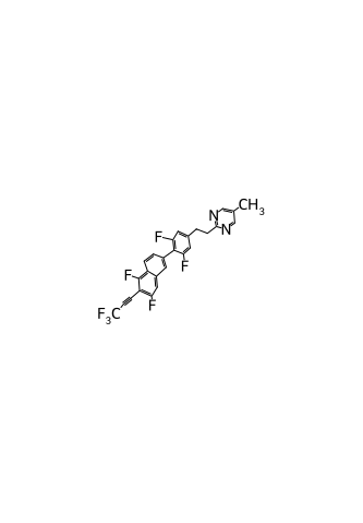 Cc1cnc(CCc2cc(F)c(-c3ccc4c(F)c(C#CC(F)(F)F)c(F)cc4c3)c(F)c2)nc1